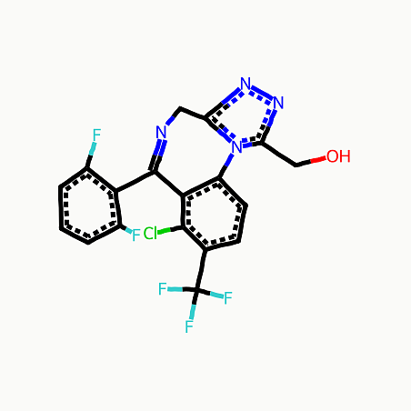 OCc1nnc2n1-c1ccc(C(F)(F)F)c(Cl)c1C(c1c(F)cccc1F)=NC2